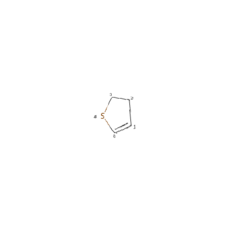 [C]1=CCCS1